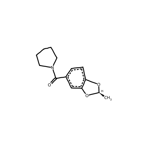 C[C@@H]1Oc2ccc(C(=O)N3CCCCC3)cc2O1